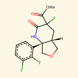 COC(=O)C1(F)C[C@@H]2COC[C@]2(c2cccc(F)c2F)NC1=O